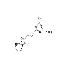 Cc1cc(O)nc(SCc2sc3ccccc3c2F)n1